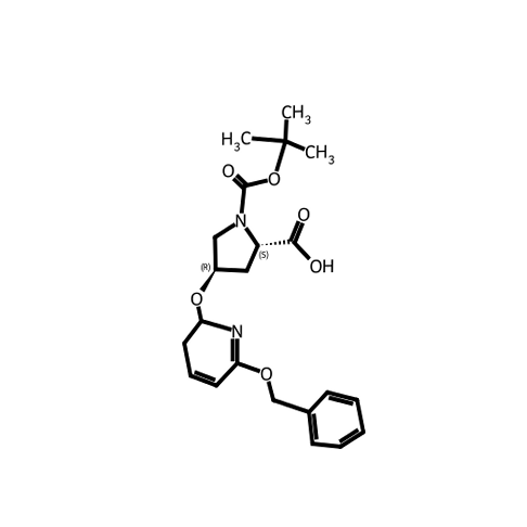 CC(C)(C)OC(=O)N1C[C@H](OC2CC=CC(OCc3ccccc3)=N2)C[C@H]1C(=O)O